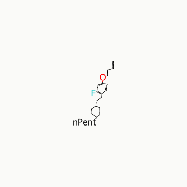 C=CCCOc1ccc(CC[C@H]2CC[C@H](CCCCC)CC2)c(F)c1